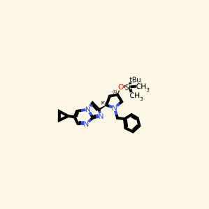 CC(C)(C)[Si](C)(C)O[C@H]1C[C@H](c2cn3cc(C4CC4)cnc3n2)N(Cc2ccccc2)C1